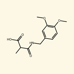 COc1ccc(CNC(=O)C(C)C(=O)O)cc1OC